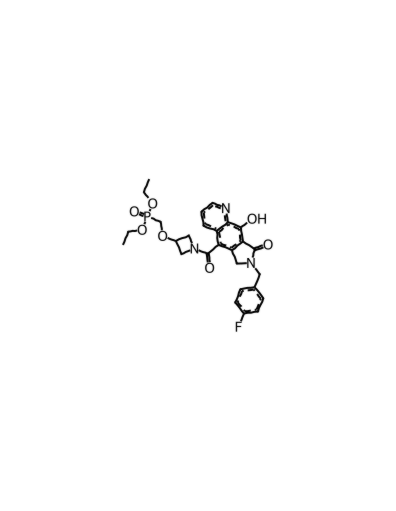 CCOP(=O)(COC1CN(C(=O)c2c3c(c(O)c4ncccc24)C(=O)N(Cc2ccc(F)cc2)C3)C1)OCC